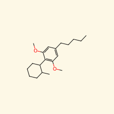 CCCCCc1cc(OC)c(C2CCCCC2C)c(OC)c1